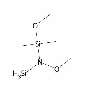 CON([SiH3])[Si](C)(C)OC